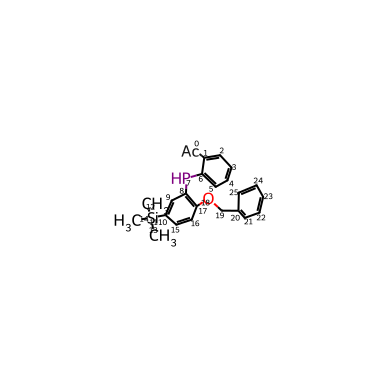 CC(=O)c1ccccc1Pc1cc([Si](C)(C)C)ccc1OCc1ccccc1